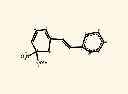 COC1([N+](=O)[O-])C=CC=C(C=Cc2ccccc2)C1